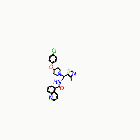 Cc1ncsc1C(CNC(=O)c1cccc2ncccc12)N1CCC(Oc2ccc(Cl)cc2)CC1